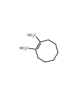 O=C(O)C1=C(C(=O)O)CCCCCC1